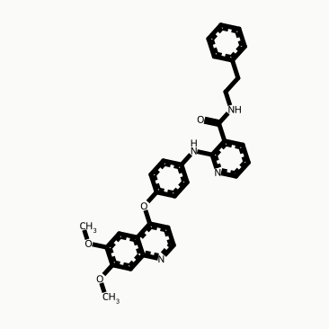 COc1cc2nccc(Oc3ccc(Nc4ncccc4C(=O)NCCc4ccccc4)cc3)c2cc1OC